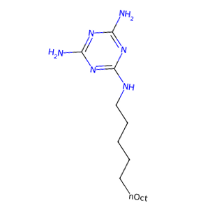 CCCCCCCCCCCCCNc1nc(N)nc(N)n1